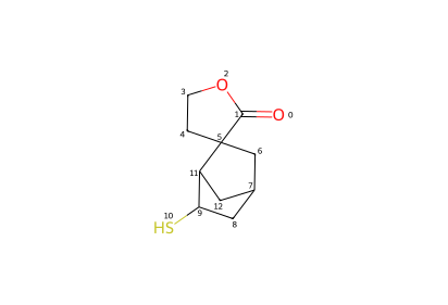 O=C1OCCC12CC1CC(S)C2C1